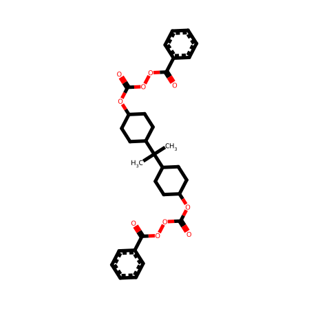 CC(C)(C1CCC(OC(=O)OOC(=O)c2ccccc2)CC1)C1CCC(OC(=O)OOC(=O)c2ccccc2)CC1